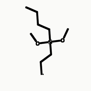 [CH2]CC[Si](CCCC)(OC)OC